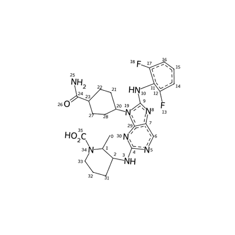 CC1C(Nc2ncc3nc(Nc4c(F)cccc4F)n(C4CCC(C(N)=O)CC4)c3n2)CCCN1C(=O)O